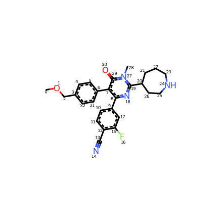 COCc1ccc(-c2c(-c3ccc(C#N)c(F)c3)nc(C3CCCNCC3)n(C)c2=O)cc1